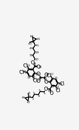 CC1(CCCCCOC(=O)c2c(Cl)c(Cl)cc(Cl)c2OC(=O)C(=O)Oc2c(Cl)cc(Cl)c(Cl)c2C(=O)OCCCCCC2(C)CC2)CC1